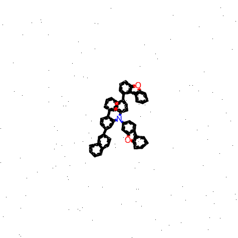 c1ccc(-c2ccc(-c3ccc4ccccc4c3)cc2N(c2ccc(-c3cccc4oc5ccccc5c34)cc2)c2ccc3c(c2)oc2ccccc23)cc1